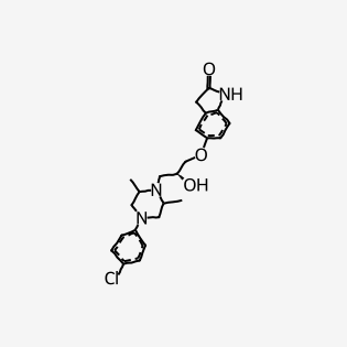 CC1CN(c2ccc(Cl)cc2)CC(C)N1C[C@H](O)COc1ccc2c(c1)CC(=O)N2